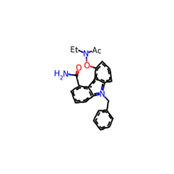 CCN(Oc1cccc2c1c1c(C(N)=O)cccc1n2Cc1ccccc1)C(C)=O